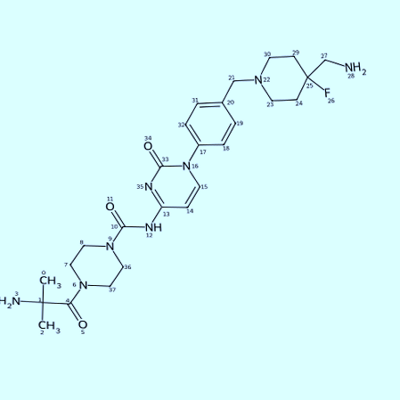 CC(C)(N)C(=O)N1CCN(C(=O)Nc2ccn(-c3ccc(CN4CCC(F)(CN)CC4)cc3)c(=O)n2)CC1